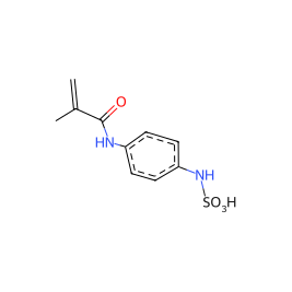 C=C(C)C(=O)Nc1ccc(NS(=O)(=O)O)cc1